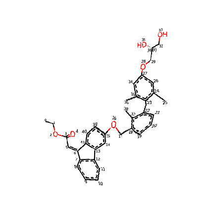 CCOC(=O)C=C1c2ccccc2-c2cc(OCc3cccc(-c4c(C)cc(OC[C@H](O)CO)cc4C)c3C)ccc21